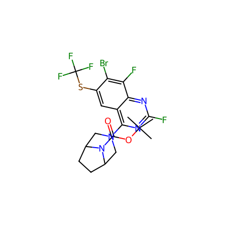 CC(C)(C)OC(=O)N1C2CCC1CN(c1nc(F)nc3c(F)c(Br)c(SC(F)(F)F)cc13)C2